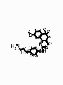 COc1ccc2c(c1)-c1nc(Nc3ccc(NCCN)nc3)ncc1CC2(C)C